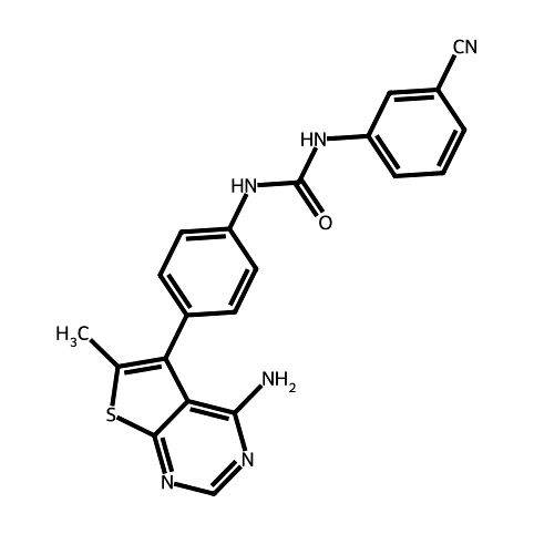 Cc1sc2ncnc(N)c2c1-c1ccc(NC(=O)Nc2cccc(C#N)c2)cc1